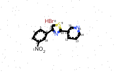 Br.O=[N+]([O-])c1cccc(-c2csc(-c3cccnc3)n2)c1